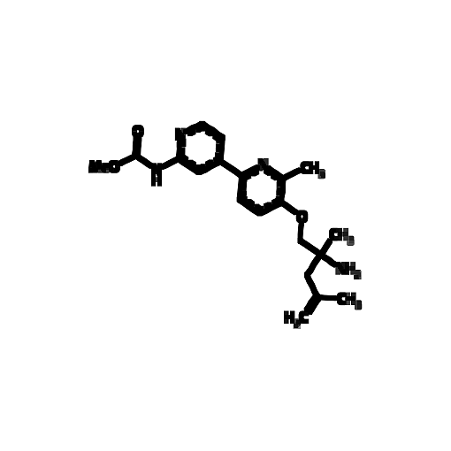 C=C(C)CC(C)(N)COc1ccc(-c2ccnc(NC(=O)OC)c2)nc1C